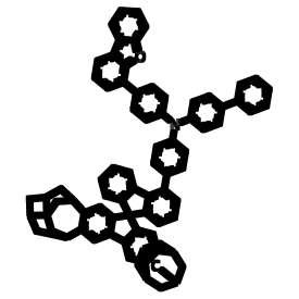 c1ccc(-c2ccc(N(c3ccc(-c4cccc5c4-c4ccccc4C54c5cc6c(cc5-c5cc7c(cc54)C4CC5CC8CC7CC85C4)C4CC5CC(C4)CC6C5)cc3)c3ccc(-c4cccc5c4oc4ccccc45)cc3)cc2)cc1